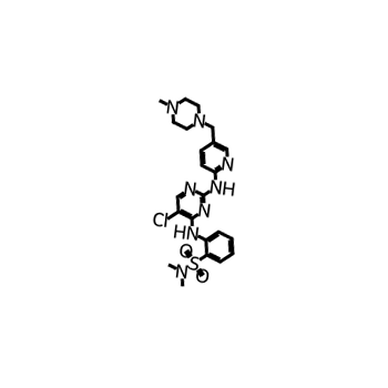 CN1CCN(Cc2ccc(Nc3ncc(Cl)c(Nc4ccccc4S(=O)(=O)N(C)C)n3)nc2)CC1